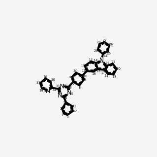 c1ccc(-c2nc(-c3ccc(-c4ccc5c(c4)c4ccccc4n5-c4ccccc4)cc3)nc(-c3ccccn3)n2)cc1